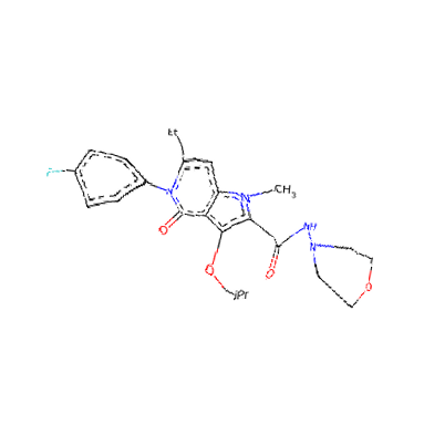 CCc1cc2c(c(OC(C)C)c(C(=O)NN3CCOCC3)n2C)c(=O)n1-c1ccc(F)cc1